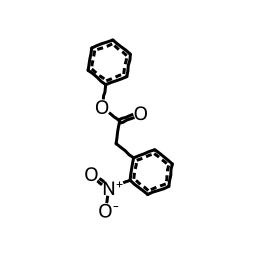 O=C(Cc1ccccc1[N+](=O)[O-])Oc1ccccc1